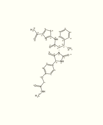 CNC(=O)COc1ccc(C2NC(=O)N([C@H](C(=O)Nc3nc(C(C)=O)cs3)[C@@H](C)c3ccccc3)C2=O)cc1